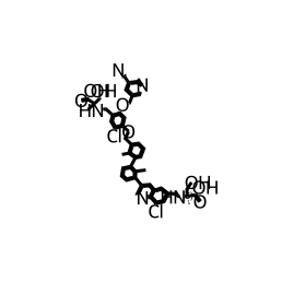 Cc1c(COc2cc(OCc3cncc(C#N)c3)c(CNC(C)(CO)C(=O)O)cc2Cl)cccc1-c1cccc(-c2cnc3c(Cl)cc(CN[C@@](C)(CO)C(=O)O)cc3c2)c1C